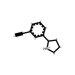 C#Cc1cccc(C2CCCN2)c1